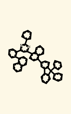 c1ccc(-c2nc(-c3ccccc3-c3cccc4ccccc34)cc(-c3ccc(-c4ccc5c(c4)-c4ccccc4C5(c4ccccc4)c4ccccc4)c4ccccc34)n2)cc1